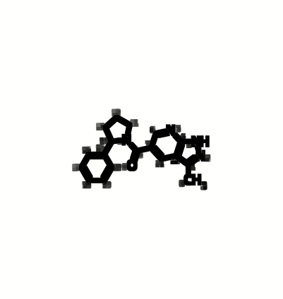 Cc1n[nH]c2ncc(C(=O)N3CCCC3c3ccccc3)cc12